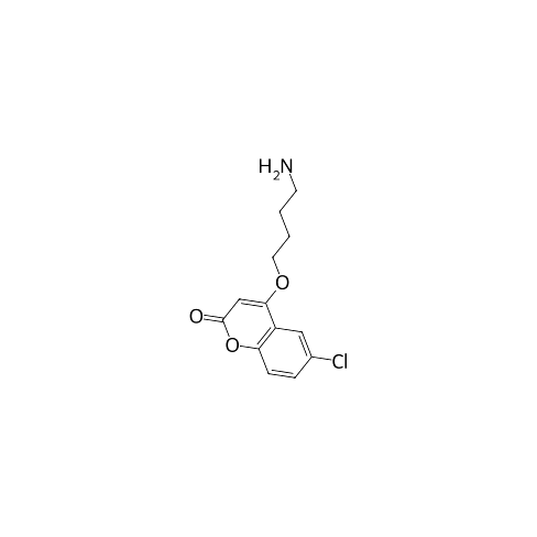 NCCCCOc1cc(=O)oc2ccc(Cl)cc12